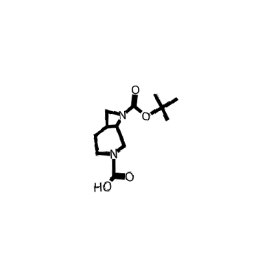 CC(C)(C)OC(=O)N1CC2CCN(C(=O)O)CC21